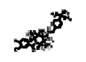 BC(B)(B)c1ccc(CNCC2(F)C(B)(B)C(B)(B)N(C(=O)c3ccc(F)c(Cl)c3)C(B)(B)C2(B)B)nc1